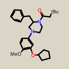 COc1ccc(N2CCN(C(=O)CC(C)(C)C)C(Cc3ccccc3)C2)cc1OC1CCCC1